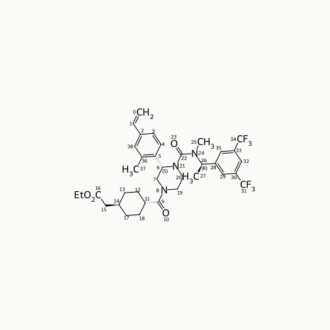 C=Cc1ccc([C@H]2CN(C(=O)[C@H]3CC[C@H](CC(=O)OCC)CC3)CCN2C(=O)N(C)[C@H](C)c2cc(C(F)(F)F)cc(C(F)(F)F)c2)c(C)c1